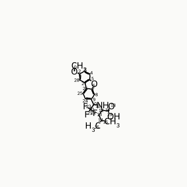 COc1ccc2oc3cc(C(NC(CC(C)C)C(=O)O)C(F)(F)F)ccc3c2c1